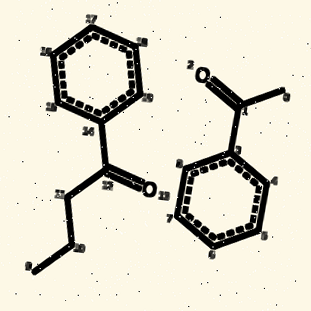 CC(=O)c1ccccc1.CCCC(=O)c1ccccc1